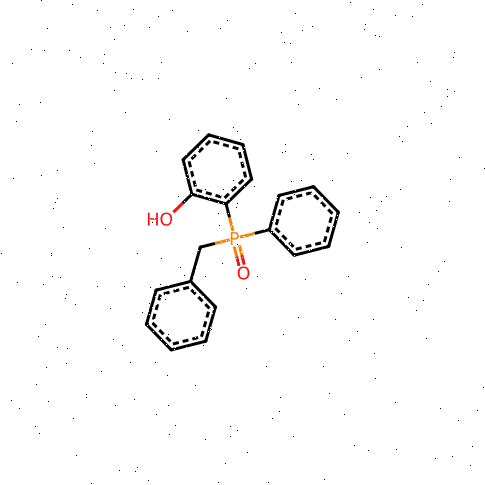 O=P(Cc1ccccc1)(c1ccccc1)c1ccccc1O